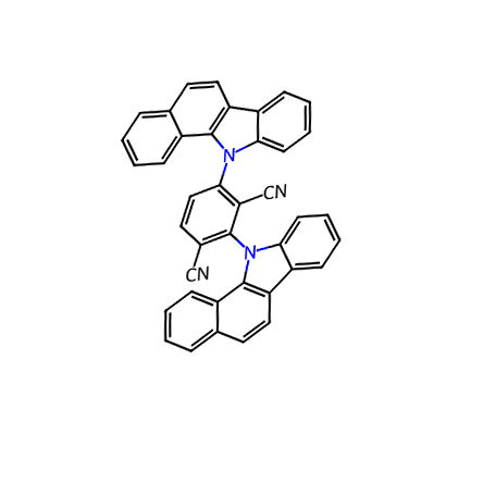 N#Cc1ccc(-n2c3ccccc3c3ccc4ccccc4c32)c(C#N)c1-n1c2ccccc2c2ccc3ccccc3c21